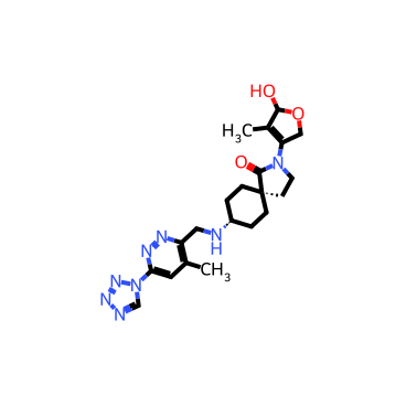 CC1=C(N2CC[C@]3(CC[C@@H](NCc4nnc(-n5cnnn5)cc4C)CC3)C2=O)COC1O